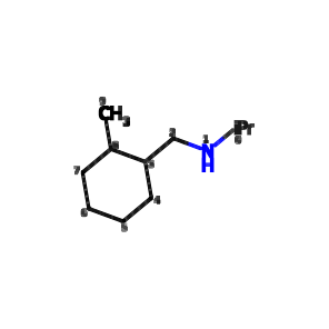 CC(C)NCC1CCCCC1C